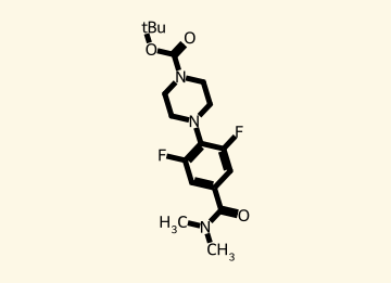 CN(C)C(=O)c1cc(F)c(N2CCN(C(=O)OC(C)(C)C)CC2)c(F)c1